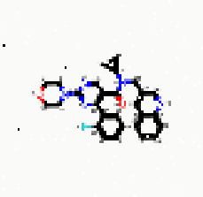 O=C(c1cnc(N2CCOCC2)nc1-c1ccccc1F)N(Cc1cnc2ccccc2c1)C1CC1